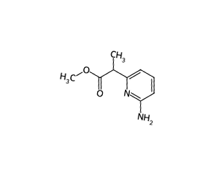 COC(=O)C(C)c1cccc(N)n1